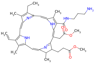 C=Cc1c(C)c2cc3nc(c(CC(=O)OC)c4[nH]c(cc5nc(cc1[nH]2)C(C)=C5CC)c(C)c4C(=O)NCCCN)C(CCC(=O)OC)C3C